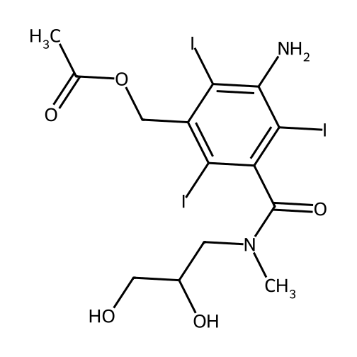 CC(=O)OCc1c(I)c(N)c(I)c(C(=O)N(C)CC(O)CO)c1I